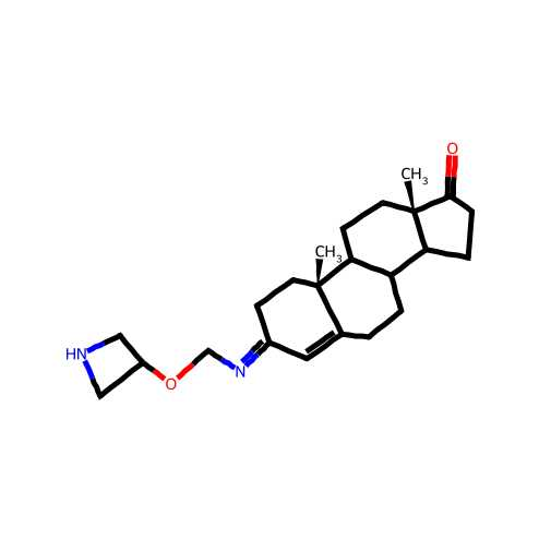 C[C@]12CC/C(=N\COC3CNC3)C=C1CCC1C2CC[C@]2(C)C(=O)CCC12